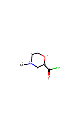 CN1CCOC(C(=O)Cl)C1